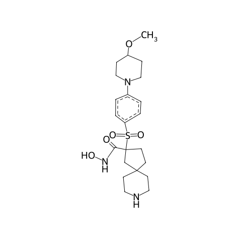 COC1CCN(c2ccc(S(=O)(=O)C3(C(=O)NO)CCC4(CCNCC4)C3)cc2)CC1